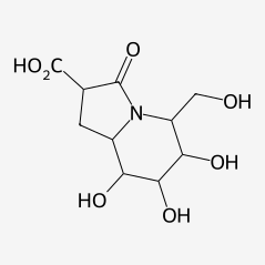 O=C(O)C1CC2C(O)C(O)C(O)C(CO)N2C1=O